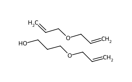 C=CCOCC=C.C=CCOCCCO